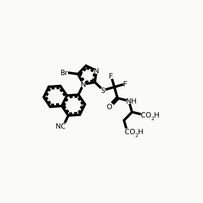 N#Cc1ccc(-n2c(Br)cnc2SC(F)(F)C(=O)NC(CC(=O)O)C(=O)O)c2ccccc12